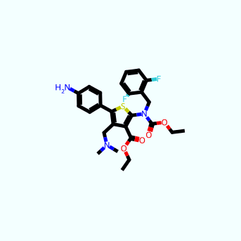 CCOC(=O)c1c(N(Cc2c(F)cccc2F)C(=O)OCC)sc(-c2ccc(N)cc2)c1CN(C)C